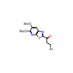 COc1cc2nc(C(=O)CCC(C)=O)sc2nc1OC